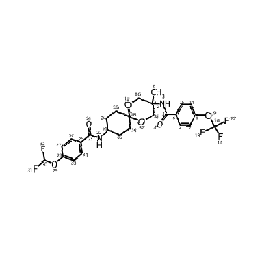 CC1(NC(=O)c2ccc(OC(F)(F)F)cc2)COC2(CCC(NC(=O)c3ccc(OC(F)F)cc3)CC2)OC1